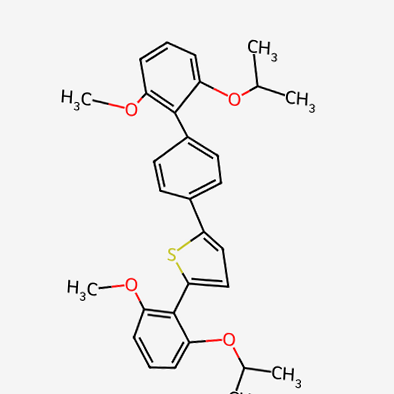 COc1cccc(OC(C)C)c1-c1ccc(-c2ccc(-c3c(OC)cccc3OC(C)C)s2)cc1